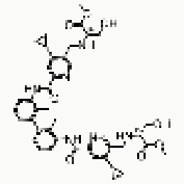 COC(=O)[C@@H](CO)NCc1cnc(C(=O)Nc2cccc(-c3cccc(NC(=O)c4cc(C5CC5)c(CN[C@H](CO)C(=O)OC)cn4)c3C)c2C)cc1C1CC1